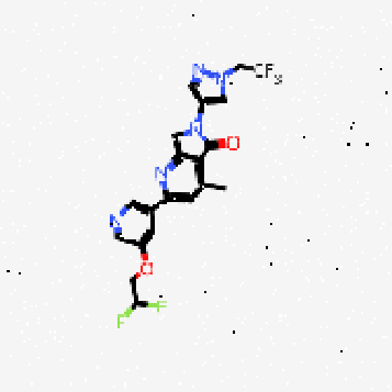 Cc1cc(-c2cncc(OCC(F)F)c2)nc2c1C(=O)N(c1cnn(CC(F)(F)F)c1)C2